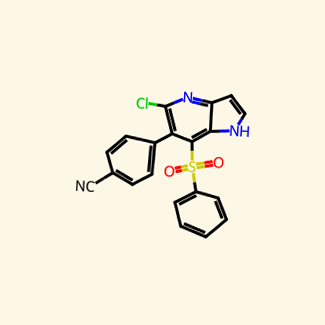 N#Cc1ccc(-c2c(Cl)nc3cc[nH]c3c2S(=O)(=O)c2ccccc2)cc1